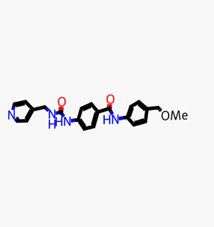 COCc1ccc(NC(=O)c2ccc(NC(=O)NCc3ccncc3)cc2)cc1